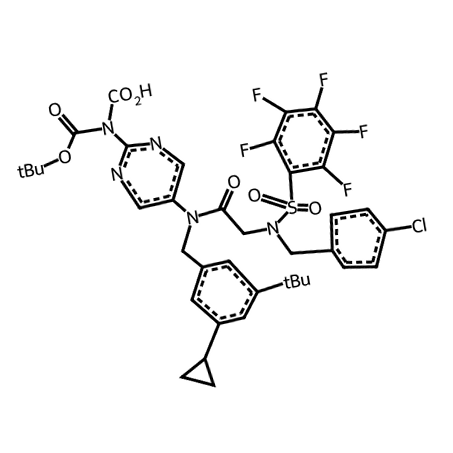 CC(C)(C)OC(=O)N(C(=O)O)c1ncc(N(Cc2cc(C3CC3)cc(C(C)(C)C)c2)C(=O)CN(Cc2ccc(Cl)cc2)S(=O)(=O)c2c(F)c(F)c(F)c(F)c2F)cn1